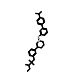 CCC(C)C(C)(C)Cc1cccc(C2CCCN(Sc3cccc(-c4ccc(C(C)C)cc4)c3)C2)c1